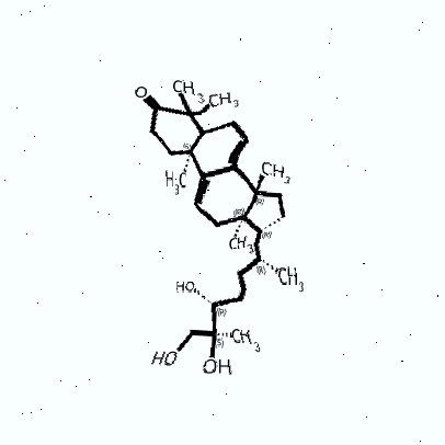 C[C@H](CC[C@@H](O)[C@@](C)(O)CO)[C@H]1CC[C@@]2(C)C3=CCC4C(C)(C)C(=O)CC[C@]4(C)C3=CC[C@]12C